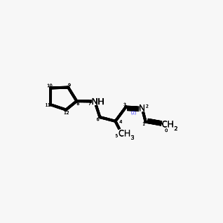 C=C/N=C\C(C)CNC1CCCC1